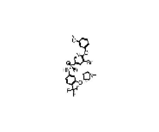 COc1cccc(Oc2ncc(S(=O)(=O)Nc3ccc(C(F)(F)F)c(O[C@@H]4CCN(C)C4)c3)cc2Br)c1